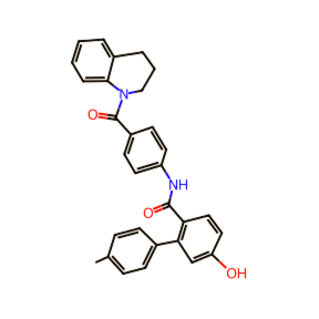 Cc1ccc(-c2cc(O)ccc2C(=O)Nc2ccc(C(=O)N3CCCc4ccccc43)cc2)cc1